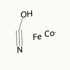 N#CO.[Co].[Fe]